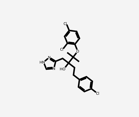 CC(C)(Oc1ccc(Cl)cc1Cl)C(O)(CCc1ccc(Cl)cc1)Cc1nc[nH]n1